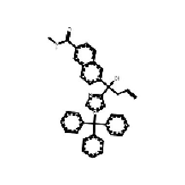 C=CCC(O)(c1ccc2cc(C(=O)NC)ccc2c1)c1cn(C(c2ccccc2)(c2ccccc2)c2ccccc2)cn1